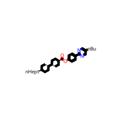 CCCCCCC[C@H]1CC[C@H]([C@H]2CC[C@H](C(=O)Oc3ccc(-c4ncc(CCCC)cn4)cc3)CC2)CC1